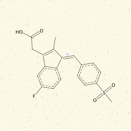 CC1=C(CC(=O)O)c2cc(F)ccc2/C1=C\c1ccc(S(C)(=O)=O)cc1